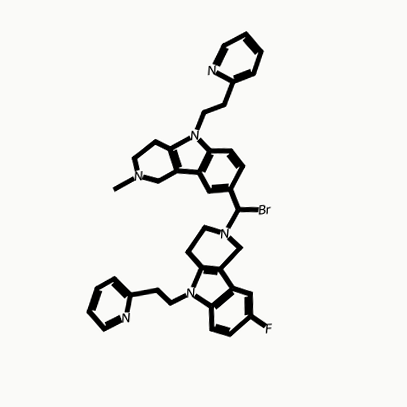 CN1CCc2c(c3cc(C(Br)N4CCc5c(c6cc(F)ccc6n5CCc5ccccn5)C4)ccc3n2CCc2ccccn2)C1